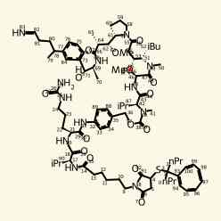 CCCC(CCC)(SC1CC(=O)N(CCCCCC(=O)N[C@H](C(=O)N[C@@H](CCCNC(N)=O)C(=O)Nc2ccc(COC(=O)N(C)[C@H](C(=O)N[C@H](C(=O)N(C)[C@@H]([C@@H](C)CC)[C@@H](CC(=O)N3CCC[C@H]3[C@H](OC)[C@@H](C)C(=O)N[C@@H](C)[C@H](O)c3cccc(C(C)CCC=N)c3)OC)C(C)C)C(C)C)cc2)C(C)C)C1=O)C1=C/C=C\C=C/C=C\1